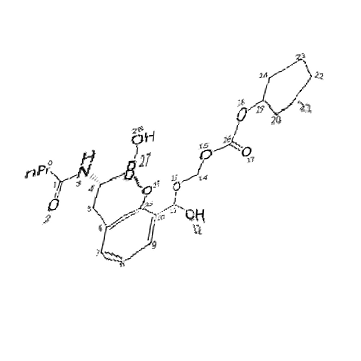 CCCC(=O)N[C@H]1Cc2cccc(C(O)OCOC(=O)OC3CCCCC3)c2OB1O